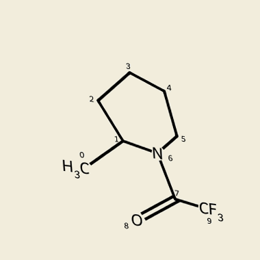 CC1CCCCN1C(=O)C(F)(F)F